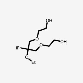 CCOC(COCCO)(COCCO)C(C)C